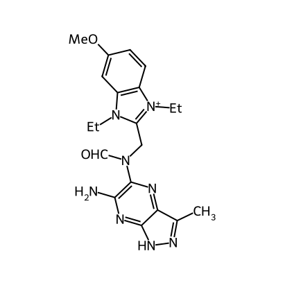 CCn1c(CN(C=O)c2nc3c(C)n[nH]c3nc2N)[n+](CC)c2ccc(OC)cc21